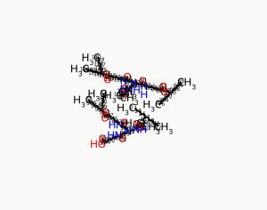 CCCCCCC(CCCCCC)CCC(C)(C)OC(=O)NCCN(CCC(=O)NCCCCCC(=O)O)CCC(=O)NCCCCCC(=O)OCC(CCCCCC)CCCCCC.CCCCCCC(CCCCCC)COC(=O)CCCCCCNC(=O)CCN(CCNC(=O)OC(C)(C)C)CCC(=O)NCCCCCC(=O)OCC(CCCCCC)CCCCCC